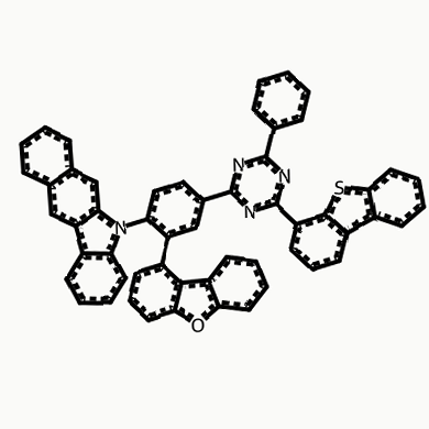 c1ccc(-c2nc(-c3ccc(-n4c5ccccc5c5cc6ccccc6cc54)c(-c4cccc5oc6ccccc6c45)c3)nc(-c3cccc4c3sc3ccccc34)n2)cc1